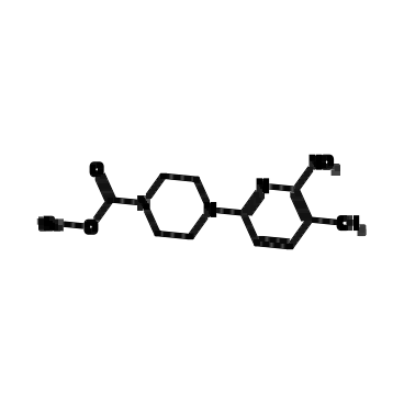 Cc1ccc(N2CCN(C(=O)OC(C)(C)C)CC2)nc1[N+](=O)[O-]